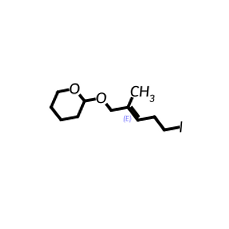 C/C(=C\CCI)COC1CCCCO1